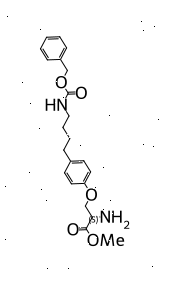 COC(=O)[C@@H](N)COc1ccc(CCCCNC(=O)OCc2ccccc2)cc1